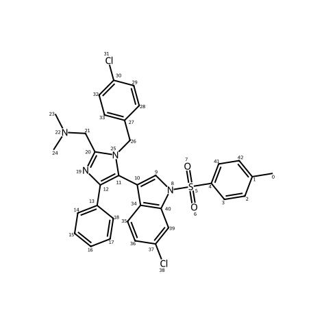 Cc1ccc(S(=O)(=O)n2cc(-c3c(-c4ccccc4)nc(CN(C)C)n3Cc3ccc(Cl)cc3)c3ccc(Cl)cc32)cc1